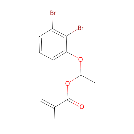 C=C(C)C(=O)OC(C)Oc1cccc(Br)c1Br